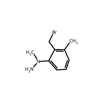 Cc1cccc(N(C)N)c1CBr